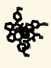 C=CC(C)(C(C)C)N(c1ccc(C(C)(C)C)cc1)c1cccc2c3cccc(N(c4ccc(C(C)(C)C)cc4)c4ccc(C(C)(C)C)cc4)c3n(-c3cc4c5c(c3)N(C(=C)/C=C\CC)C(=C)/C(=C\CC)B5c3cc(C(C)(C)C)ccc3O4)c12